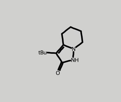 CC(C)(C)c1c2n([nH]c1=O)CCCC2